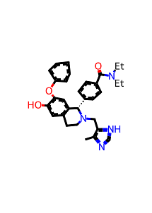 CCN(CC)C(=O)c1ccc([C@H]2c3cc(Oc4ccccc4)c(O)cc3CCN2Cc2[nH]cnc2C)cc1